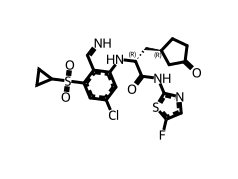 N=Cc1c(N[C@H](C[C@H]2CCC(=O)C2)C(=O)Nc2ncc(F)s2)cc(Cl)cc1S(=O)(=O)C1CC1